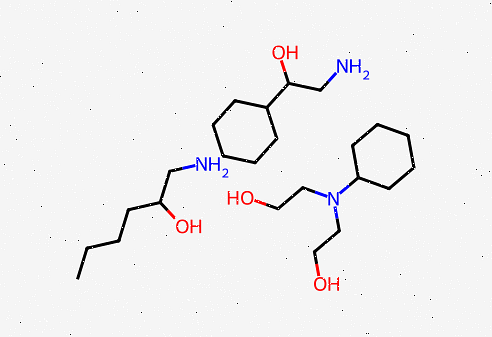 CCCCC(O)CN.NCC(O)C1CCCCC1.OCCN(CCO)C1CCCCC1